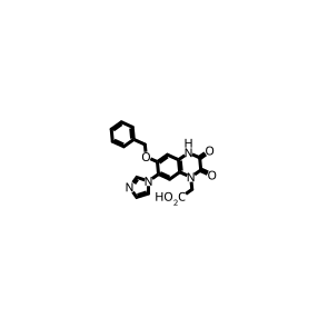 O=C(O)Cn1c(=O)c(=O)[nH]c2cc(OCc3ccccc3)c(-n3ccnc3)cc21